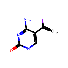 C=C(I)C1=C[N]C(=O)N=C1N